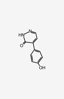 O=c1[nH]nccc1-c1ccc(O)cc1